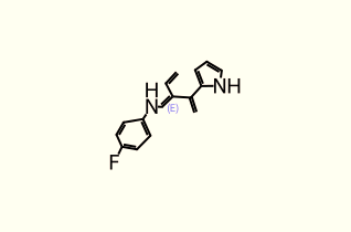 C=C/C(=C\Nc1ccc(F)cc1)C(=C)c1ccc[nH]1